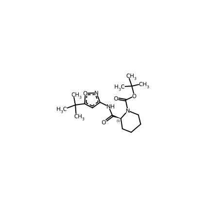 CC(C)(C)OC(=O)N1CCCC[C@H]1C(=O)Nc1cc(C(C)(C)C)on1